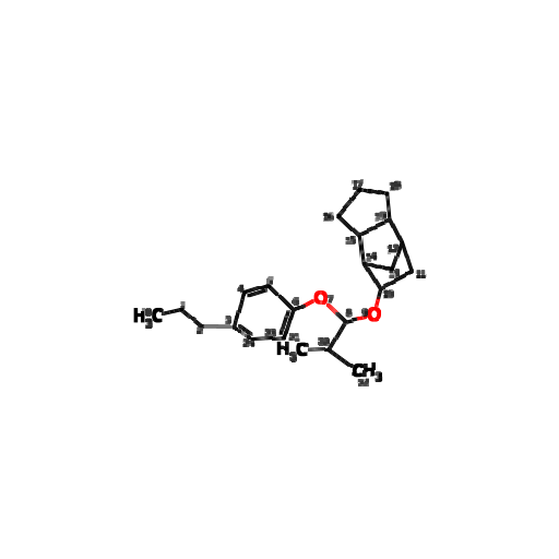 CCCc1ccc(OC(OC2CC3CC2C2CCCC32)C(C)C)cc1